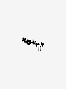 C[C@H](CNC(C)(C)C)n1cnc(-c2ccc(CC(C)(C)C)cc2)c1